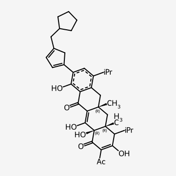 CC(=O)C1=C(O)C(C(C)C)[C@@]2(C)C[C@@]3(C)Cc4c(C(C)C)cc(C5=CC=C(CC6CCCC6)C5)c(O)c4C(=O)C3=C(O)[C@@]2(O)C1=O